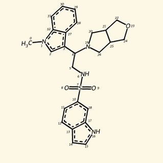 Cn1cc(C(CNS(=O)(=O)c2ccc3cc[nH]c3c2)N2CC3COCC3C2)c2ccccc21